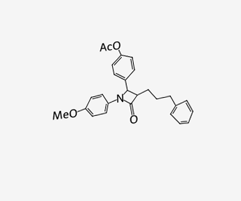 COc1ccc(N2C(=O)C(CCCc3ccccc3)C2c2ccc(OC(C)=O)cc2)cc1